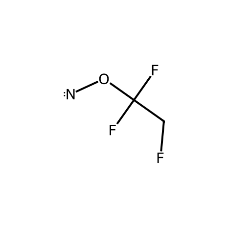 [N]OC(F)(F)CF